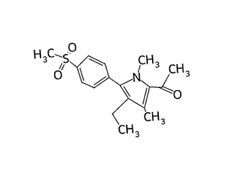 CCc1c(C)c(C(C)=O)n(C)c1-c1ccc(S(C)(=O)=O)cc1